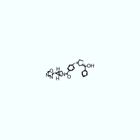 O=C(c1ccc(C[C@@H]2CC[C@H]([C@H](O)c3ccccc3)C2)cc1)N1C[C@@H]2[C@H](C1)[C@H]2c1nnco1